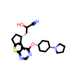 N#CC(O)C[C@H]1CCc2sc3ncnc(O[C@H]4CC[C@H](N5CCCC5)CC4)c3c21